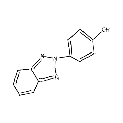 Oc1[c]cc(-n2nc3ccccc3n2)cc1